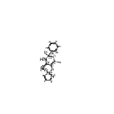 CC1=C(C[N+]2(C(C)C)C=CC=N2)C(=O)NC(C)(c2ccccc2)C1